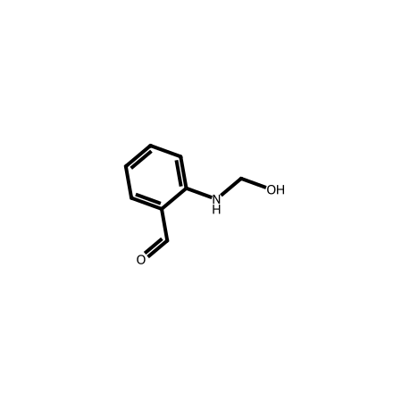 O=Cc1ccccc1NCO